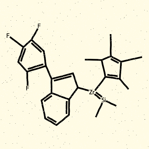 CC1=C(C)C(C)[C]([Zr]([CH]2C=C(c3cc(F)c(F)cc3F)c3ccccc32)=[Si](C)C)=C1C